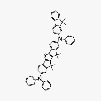 CC1(C)c2ccccc2-c2ccc(N(c3ccccc3)c3ccc4c(c3)C(C)(C)c3c-4sc4c3C(C)(C)c3cc(N(c5ccccc5)c5ccccc5)ccc3-4)cc21